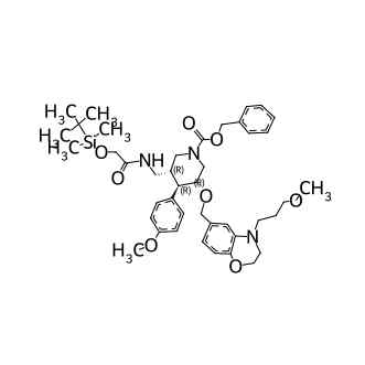 COCCCN1CCOc2ccc(CO[C@H]3CN(C(=O)OCc4ccccc4)C[C@@H](CNC(=O)CO[Si](C)(C)C(C)(C)C)[C@@H]3c3ccc(OC)cc3)cc21